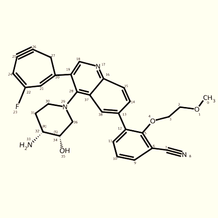 COCCOc1c(C#N)cccc1-c1ccc2ncc(C3=CC(F)=CC#CC3)c(N3CC[C@@H](N)[C@@H](O)C3)c2c1